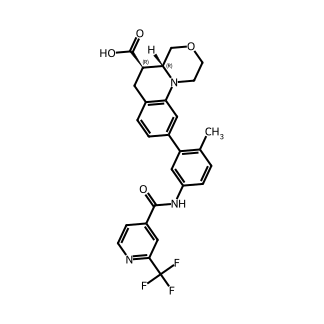 Cc1ccc(NC(=O)c2ccnc(C(F)(F)F)c2)cc1-c1ccc2c(c1)N1CCOC[C@H]1[C@H](C(=O)O)C2